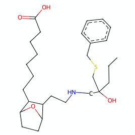 CCCC(O)(CNCCC1C2CCC(O2)C1CCCCCCC(=O)O)CSCc1ccccc1